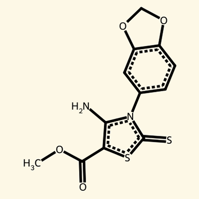 COC(=O)c1sc(=S)n(-c2ccc3c(c2)OCO3)c1N